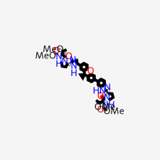 COC(=O)N[C@H](C(=O)N1CCC[C@H]1c1ncc(-c2ccc3c(c2)C2(CC2)c2ccc(-c4ccc5nc([C@@H]6CCCN6C(=O)[C@@H](NC(=O)OC)[C@@H](C)OC)[nH]c5c4)cc2O3)[nH]1)[C@@H](C)OC